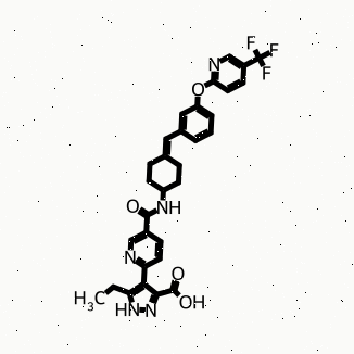 CCc1[nH]nc(C(=O)O)c1-c1ccc(C(=O)NC2CCC(=Cc3cccc(Oc4ccc(C(F)(F)F)cn4)c3)CC2)cn1